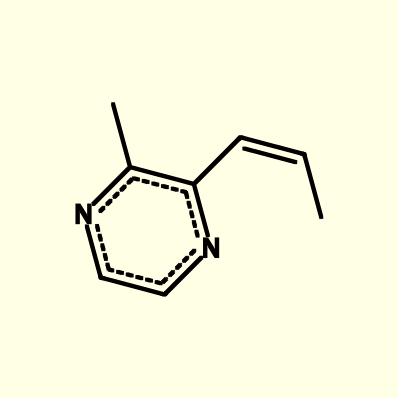 C/C=C\c1nccnc1C